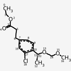 CCOC(=O)CCc1ccc([C@H](C)OCOC)c(Cl)c1